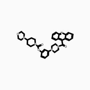 O=C(Oc1cccc(N2CCN(C(=O)c3c4ccccc4nc4ccccc34)CC2)c1)N1CCC(N2CCOCC2)CC1